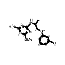 CSc1nc(N)nc(NC(C)COc2cccc(Cl)c2)n1